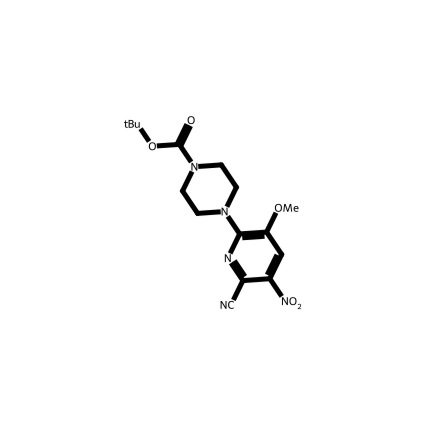 COc1cc([N+](=O)[O-])c(C#N)nc1N1CCN(C(=O)OC(C)(C)C)CC1